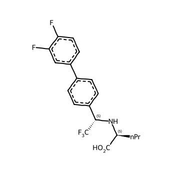 CCC[C@H](N[C@@H](c1ccc(-c2ccc(F)c(F)c2)cc1)C(F)(F)F)C(=O)O